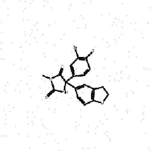 CN1C(=O)C(c2ccc(F)c(Br)c2)(c2ccc3c(c2)CCO3)NC1=S